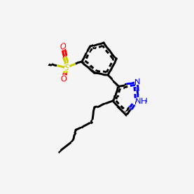 CCCCCc1c[nH]nc1-c1cccc(S(C)(=O)=O)c1